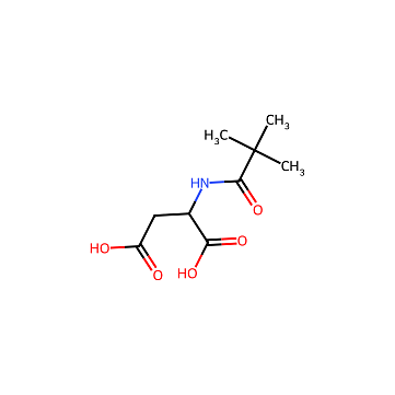 CC(C)(C)C(=O)NC(CC(=O)O)C(=O)O